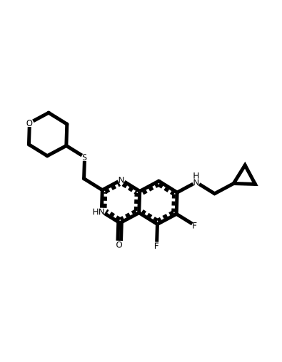 O=c1[nH]c(CSC2CCOCC2)nc2cc(NCC3CC3)c(F)c(F)c12